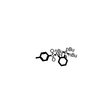 CCCC[PH](CCCC)(CCCC)C1CCCCC1NS(=O)(=O)c1ccc(C)cc1